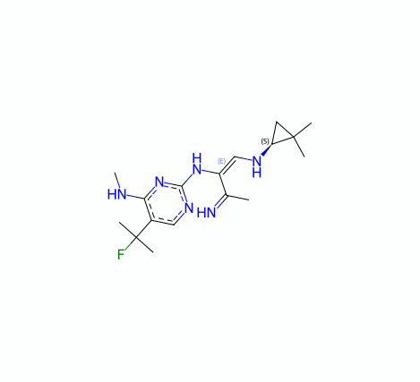 CNc1nc(N/C(=C/N[C@H]2CC2(C)C)C(C)=N)ncc1C(C)(C)F